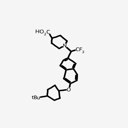 CC(C)(C)C1CCC(Oc2ccc3cc(C(N4CCC(C(=O)O)CC4)C(F)(F)F)ccc3c2)CC1